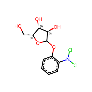 OC[C@H]1OC(Oc2ccccc2N(Cl)Cl)[C@H](O)[C@H]1O